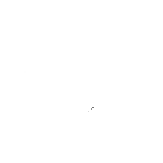 CC(C)CNCCC[C@H](N)c1ccccc1